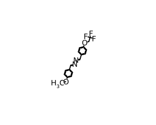 COc1ccc(C=NN=Cc2ccc(OCC(F)(F)F)cc2)cc1